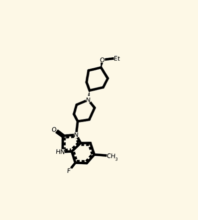 CCO[C@H]1CC[C@H](N2CCC(n3c(=O)[nH]c4c(F)cc(C)cc43)CC2)CC1